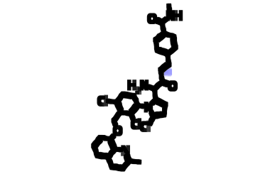 CNC(=O)c1ccc(/C=C/C(=O)C(N)c2ccc(Cl)n2-c2ccc(Cl)c(COc3cccc4ccc(C)nc34)c2Cl)cc1